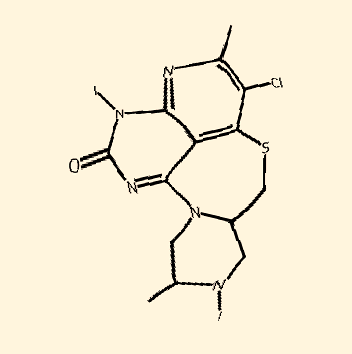 Cc1nc2c3c(nc(=O)n2I)N2CC(C)N(I)CC2CSc3c1Cl